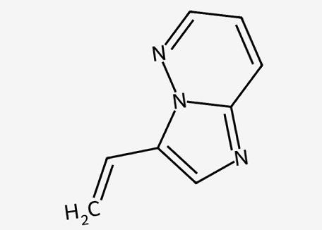 C=Cc1cnc2cccnn12